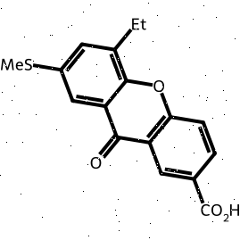 CCc1cc(SC)cc2c(=O)c3cc(C(=O)O)ccc3oc12